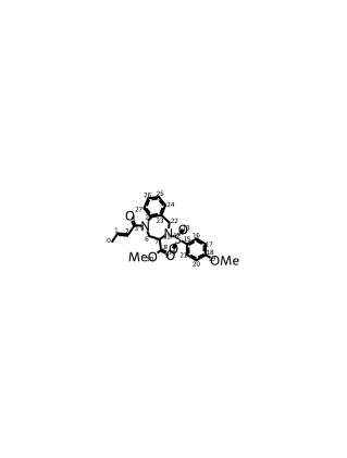 CC=CC(=O)N1CC(C(=O)OC)N(S(=O)(=O)c2ccc(OC)cc2)Cc2ccccc21